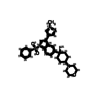 Cn1cc(-c2cn(S(=O)(=O)c3ccccc3)c3ncc(C4(F)CCC(N5CCOCC5)CC4)cc23)cn1